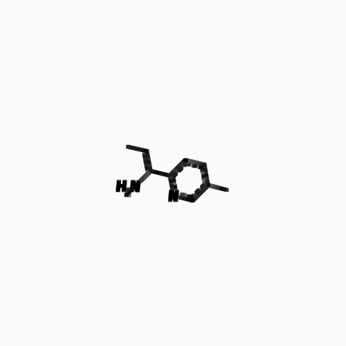 C/C=C(\N)c1ccc(C)cn1